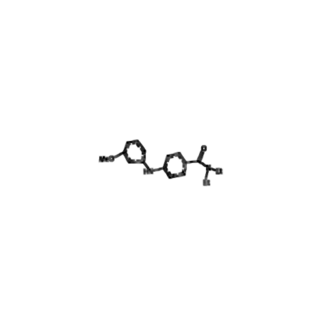 CCN(CC)C(=O)c1ccc(Nc2cccc(OC)c2)cc1